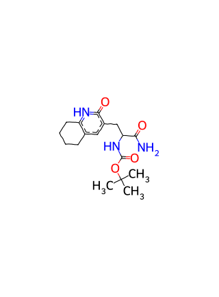 CC(C)(C)OC(=O)NC(Cc1cc2c([nH]c1=O)CCCC2)C(N)=O